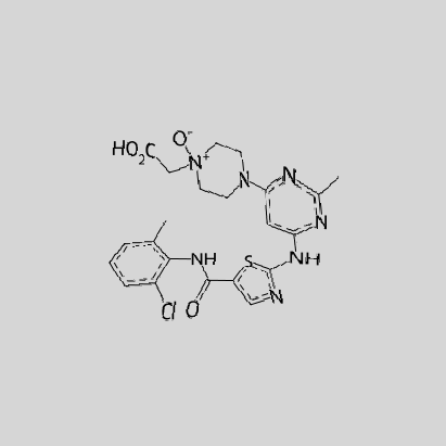 Cc1nc(Nc2ncc(C(=O)Nc3c(C)cccc3Cl)s2)cc(N2CC[N+]([O-])(CC(=O)O)CC2)n1